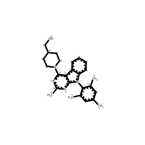 Cc1cc(C)c(-n2c3ccccc3c3c(N4CCC(CO)CC4)nc(C)nc32)c(C)c1